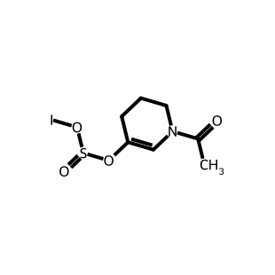 CC(=O)N1C=C(OS(=O)OI)CCC1